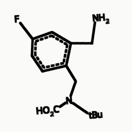 CC(C)(C)N(Cc1ccc(F)cc1CN)C(=O)O